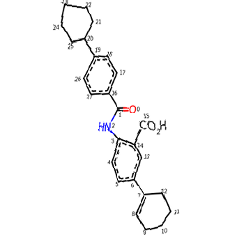 O=C(Nc1ccc(C2=CCCCC2)cc1C(=O)O)c1ccc(C2CCCCC2)cc1